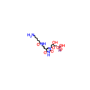 NCCCCCC(=O)NC/C=C/c1cn(C2CC(O)C(CO[PH](=O)O)O2)c(=O)[nH]c1=O